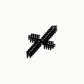 FC(F)(F)C(F)(F)C(F)(F)C(F)(F)/C=C(/C(=C/C(F)(F)C(F)(F)C(F)(F)C(F)(F)F)C(F)(F)C(F)(F)C(F)(F)C(F)(F)C(F)(F)C(F)(F)C(F)(F)C(F)(F)F)C(F)(F)C(F)(F)C(F)(F)C(F)(F)C(F)(F)C(F)(F)C(F)(F)C(F)(F)F